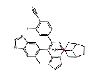 N#Cc1ccc(-c2nc(N3C4CCC3CC(N)C4)n3ccnc3c2-c2cc3nc[nH]c3cc2F)cc1F